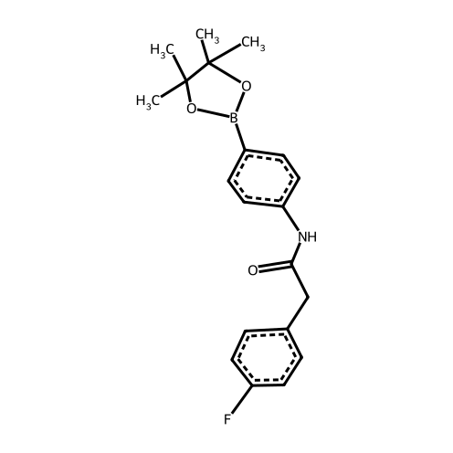 CC1(C)OB(c2ccc(NC(=O)Cc3ccc(F)cc3)cc2)OC1(C)C